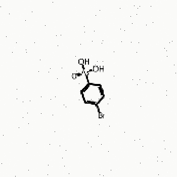 O=[As](O)(O)c1ccc(Br)cc1